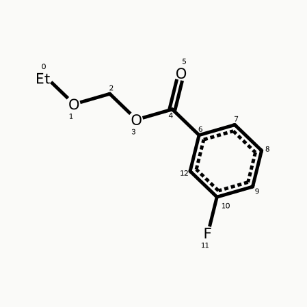 CCOCOC(=O)c1cccc(F)c1